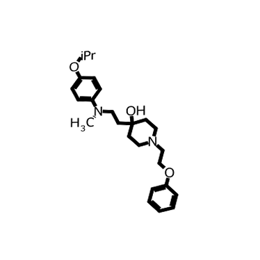 CC(C)Oc1ccc(N(C)CCC2(O)CCN(CCOc3ccccc3)CC2)cc1